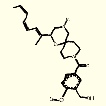 C\C=C/C=C\C=C(/C)C1CN(CC)CC2(CCN(C(=O)c3ccc(OCC)c(CO)c3)CC2)O1